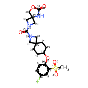 CS(=O)(=O)c1cc(F)ccc1OC1CCC2(CC1)CN(C(=O)N1CC3(COC(=O)N3)C1)C2